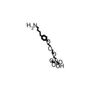 NCCCCc1ccc(OCCOCCOCCN(C(=O)O)C(=O)O)cc1